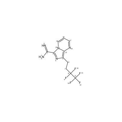 N=C(N)c1nc(CCC(F)(F)C(F)(F)F)c2ncccn12